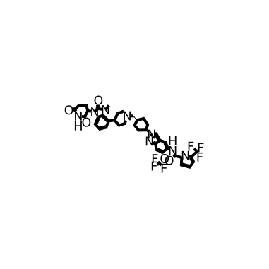 Cn1c(=O)n(C2CCC(=O)NC2=O)c2cccc(C3CCN(C[C@H]4CC[C@H](n5cc6cc(NC(=O)c7cccc(C(F)(F)F)n7)c(OC(F)(F)F)cc6n5)CC4)CC3)c21